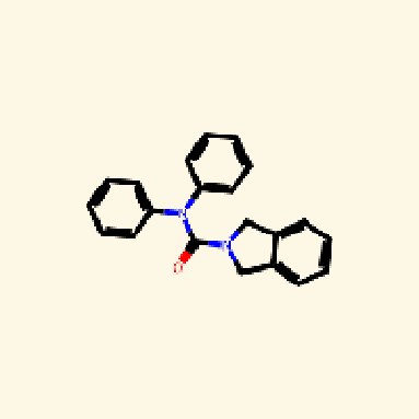 O=C(N1[C]c2ccccc2C1)N(c1ccccc1)c1ccccc1